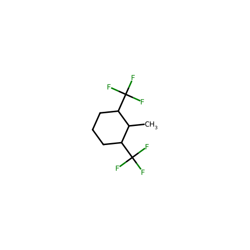 CC1C(C(F)(F)F)CCCC1C(F)(F)F